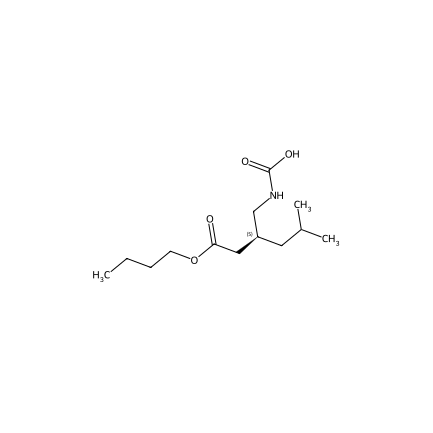 CCCCOC(=O)C[C@@H](CNC(=O)O)CC(C)C